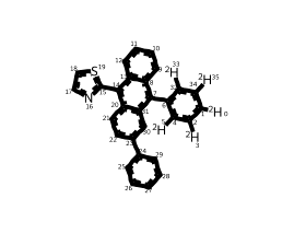 [2H]c1c([2H])c([2H])c(-c2c3ccccc3c(-c3nccs3)c3ccc(-c4ccccc4)cc23)c([2H])c1[2H]